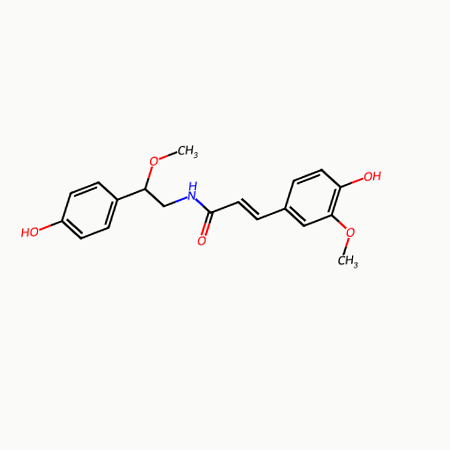 COc1cc(C=CC(=O)NCC(OC)c2ccc(O)cc2)ccc1O